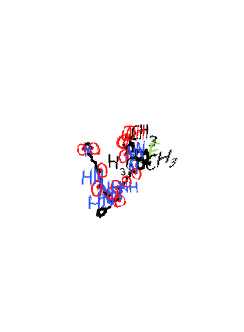 CC[C@@]1(O)C(=O)OCc2c1cc1n(c2=O)Cc2c-1nc1cc(F)c(C)c3c1c2[C@@H](N(C)C(=O)CCCOCNC(=O)CNC(=O)[C@H](Cc1ccccc1)NC(=O)CNC(=O)CNC(=O)CCCCCN1C(=O)C=CC1=O)CC3